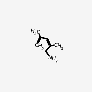 C=C(C)/C=C(/C)CN